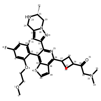 COCCOc1cc(F)cc(F)c1-c1c(-c2cc3n(n2)C[C@@H](C)NC3)nc(C23CC(C(=O)CN(C)C)(C2)C3)c2ccsc12